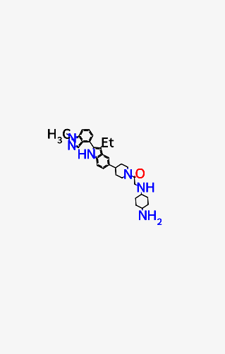 CCc1c(-c2cccc3c2cnn3C)[nH]c2ccc(C3CCN(C(=O)CNC4CCC(N)CC4)CC3)cc12